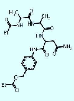 CCC(=O)NC(C)C(=O)NC(C)C(=O)NC(CC(N)=O)C(=O)Nc1ccc(COC(=O)CC)cc1